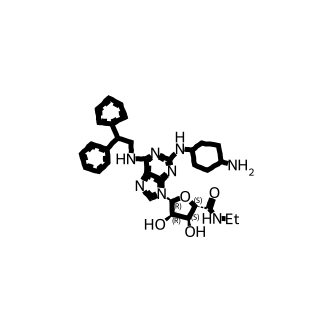 CCNC(=O)[C@H]1O[C@@H](n2cnc3c(NCC(c4ccccc4)c4ccccc4)nc(NC4CCC(N)CC4)nc32)[C@H](O)[C@@H]1O